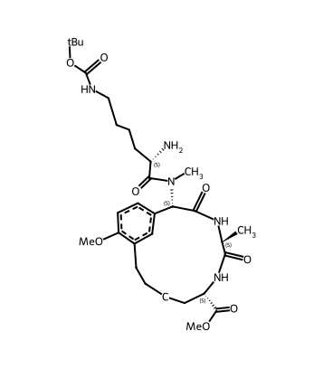 COC(=O)[C@@H]1CCCCc2cc(ccc2OC)[C@H](N(C)C(=O)[C@@H](N)CCCCNC(=O)OC(C)(C)C)C(=O)N[C@@H](C)C(=O)N1